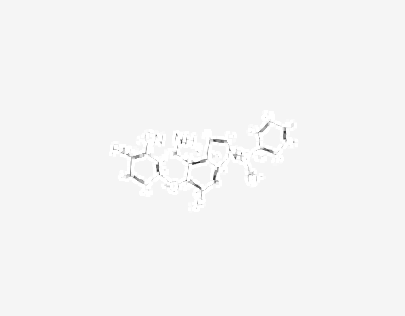 N#Cc1cc(Oc2c(F)cc3c(ccn3[S+]([O-])c3ccccc3)c2CN)ccc1F